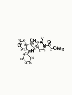 COCC(=O)N1CCN(c2nc(C3CCCCC3)c3c(c2C#N)CCOC3)C[C@H]1C